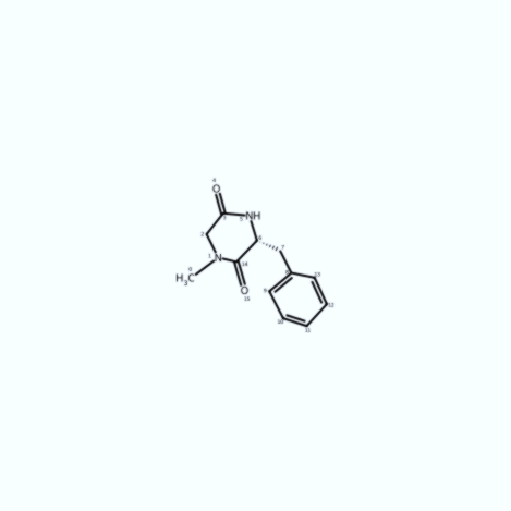 CN1CC(=O)N[C@H](Cc2ccccc2)C1=O